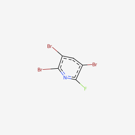 Fc1nc(Br)c(Br)cc1Br